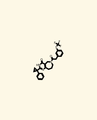 O=C(Cc1cccc(SC(F)(F)F)c1)N1CCCc2nc(C3(c4ccccc4)CC3)[nH]c(=O)c2C1